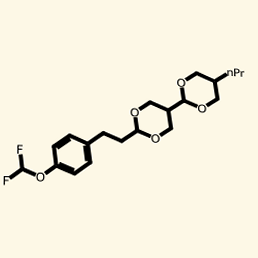 CCCC1COC(C2COC(CCc3ccc(OC(F)F)cc3)OC2)OC1